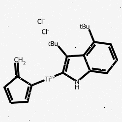 C=C1C=CC=[C]1[Ti+2][c]1[nH]c2cccc(C(C)(C)C)c2c1C(C)(C)C.[Cl-].[Cl-]